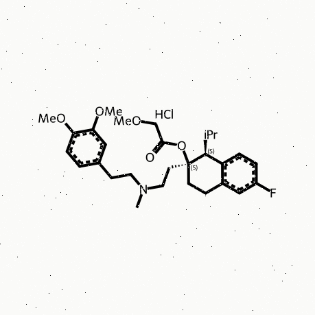 COCC(=O)O[C@]1(CCN(C)CCc2ccc(OC)c(OC)c2)CCc2cc(F)ccc2[C@@H]1C(C)C.Cl